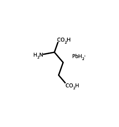 NC(CCC(=O)O)C(=O)O.[PbH2]